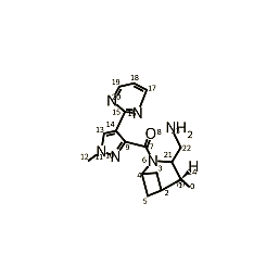 C[C@@H]1C2CC(C2)N(C(=O)c2nn(C)cc2-c2ncccn2)C1CN